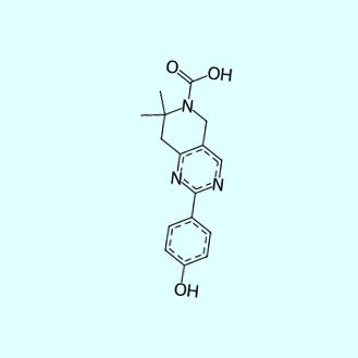 CC1(C)Cc2nc(-c3ccc(O)cc3)ncc2CN1C(=O)O